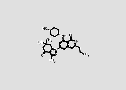 CCCc1cc2cc(-n3nc(C)c4c3CC(C)(C)CC4=O)cc(N[C@H]3CC[C@H](O)CC3)c2c(=O)[nH]1